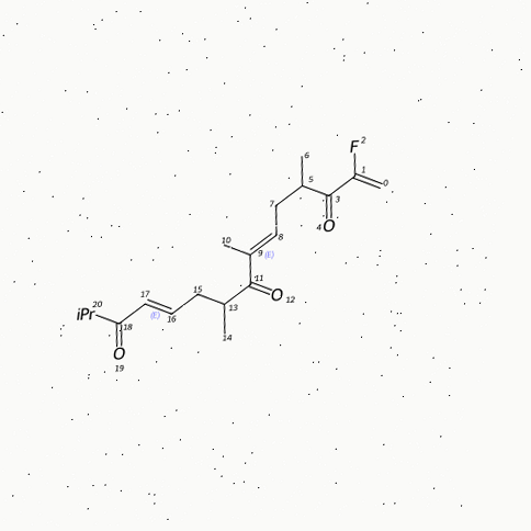 C=C(F)C(=O)C(C)C/C=C(\C)C(=O)C(C)C/C=C/C(=O)C(C)C